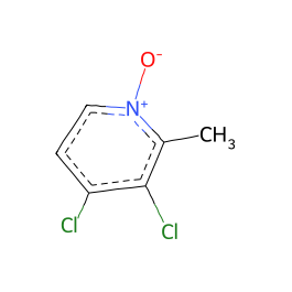 Cc1c(Cl)c(Cl)cc[n+]1[O-]